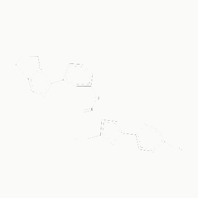 COc1nn(-c2cnc(C#N)cn2)cc1C(=O)Nc1cccc(-c2nnc3n2[C@@H](C)CC3)n1